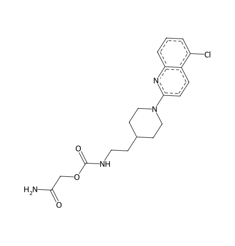 NC(=O)COC(=O)NCCC1CCN(c2ccc3c(Cl)cccc3n2)CC1